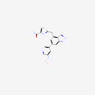 CS(=O)(=O)Nc1cncc(-c2cc(Cc3nc(C(N)=O)cs3)c3cn[nH]c3c2)c1